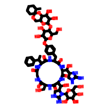 CC(c1ccccc1)C1NC(=O)CNC(=O)C(CO)NC(=O)C(C(O)C2CNC(=N)N2C2OC(CO)C(O)C(O)C2O)NC(=O)C(C(O)C2CNC(=N)N2)NC(=O)C(Cc2ccc(OC3OC(CO)C(OC4OC5COC6(CCCCC6C)OC5C(O)C4O)C(O)C3O)cc2)NC1=O